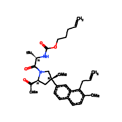 C=CCCCOC(=O)N[C@H](C(=O)N1C[C@](OC)(c2ccc3ccc(OC)c(CC=C)c3c2)C[C@H]1C(=O)OC)C(C)(C)C